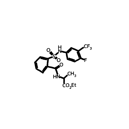 CCOC(=O)C(C)NC(=O)c1ccccc1S(=O)(=O)Nc1ccc(F)c(C(F)(F)F)c1